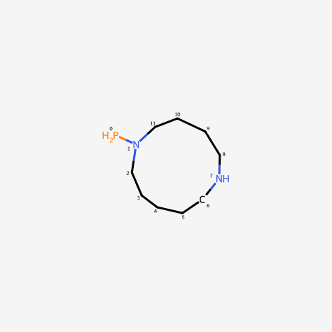 PN1CCCCCNCCCC1